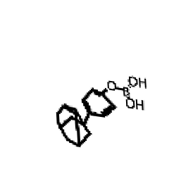 OB(O)Oc1ccc(C23CC4CC(CC(C4)C2)C3)cc1